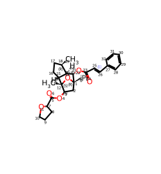 CC(C)[C@@]12C[C@@H](OC(=O)C3CCCO3)[C@@](C)(O1)[C@@H]1CC[C@@H](C)[C@H]1[C@@H]2OC(=O)/C=C/c1ccccc1